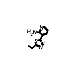 CCc1nnc(-c2cccnc2N)s1